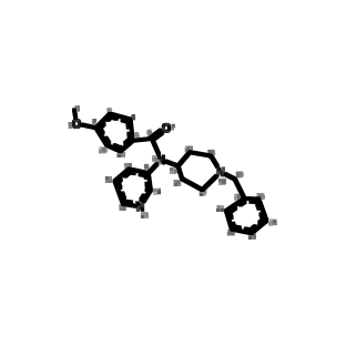 COc1ccc(C(=O)N(c2cccnc2)C2CCN(Cc3ccccc3)CC2)cc1